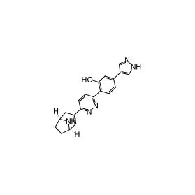 Oc1cc(-c2cn[nH]c2)ccc1-c1ccc(C2=C[C@H]3CC[C@@H](C2)N3)nn1